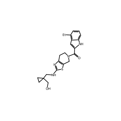 CCc1cccc2[nH]c(C(=O)N3CCc4nc(NCC5(CO)CC5)sc4C3)cc12